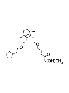 CN(O)C(=O)CCCOCC[C@@H]1[C@H](CCOCCC2CCCC2)[C@@H]2CC[C@H]1O2